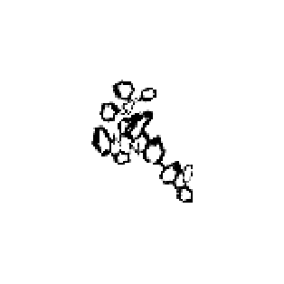 c1ccc([Si](c2ccccc2)(c2ccccc2)c2cccc(-n3c4ccccc4c4cccc(-n5c6ccccc6c6ccc(-c7ccc8c(c7)oc7ccccc78)cc65)c43)c2)cc1